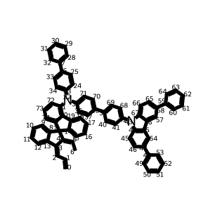 C=C/C=C1\C(=C/C)C2(c3ccccc31)c1ccccc1-c1c(N(c3ccc(-c4ccccc4)cc3)c3ccc(-c4ccc(-n5c6ccc(-c7ccccc7)cc6c6cc(-c7ccccc7)ccc65)cc4)cc3)cccc12